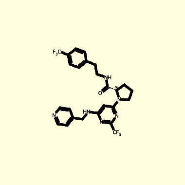 O=C(NCCc1ccc(C(F)(F)F)cc1)[C@@H]1CCCN1c1cc(NCc2ccncc2)nc(C(F)(F)F)n1